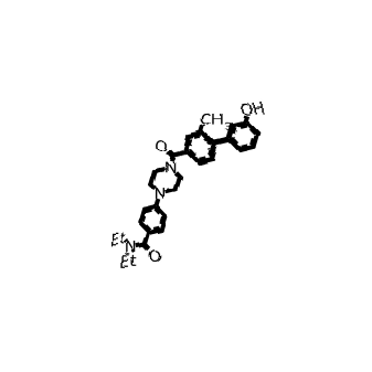 CCN(CC)C(=O)c1ccc(N2CCN(C(=O)c3ccc(-c4cccc(O)c4)c(C)c3)CC2)cc1